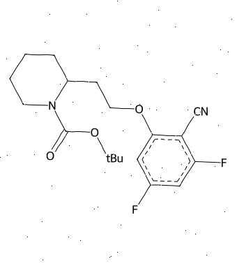 CC(C)(C)OC(=O)N1CCCCC1CCOc1cc(F)cc(F)c1C#N